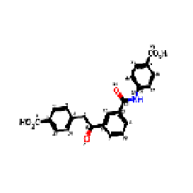 O=C(O)c1ccc(CC(=O)c2cccc(C(=O)Nc3ccc(C(=O)O)cc3)c2)cc1